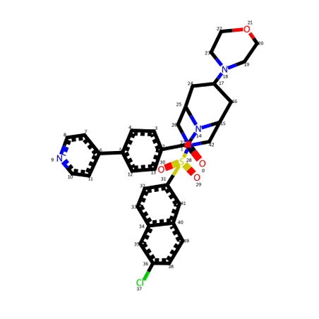 O=C(c1ccc(-c2ccncc2)cc1)N1C2CC(N3CCOCC3)CC1CN(S(=O)(=O)c1ccc3cc(Cl)ccc3c1)C2